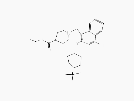 CCOC(=O)C1CCN(Cc2c(O[C@H]3CC[C@H](C(C)(C)C)CC3)cc(Cl)c3ccccc23)CC1